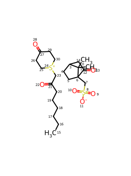 CC1(C)C2CCC1(CS(=O)(=O)[O-])C(=O)C2.CCCCCCC(=O)C[S+]1CCC(=O)CC1